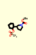 CC(C)(C)OC(=O)N1CCCC(c2ccccc2OS(=O)(=O)C(F)(F)F)C1